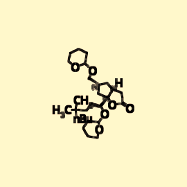 CCCCC(C)(C)CC=C(OC1CCCCO1)[C@@]12C[C@@H](COC3CCCCO3)C[C@H]1CC(=O)O2